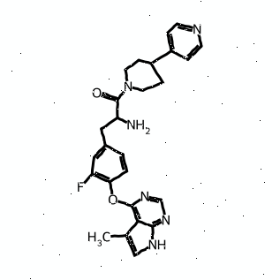 Cc1c[nH]c2ncnc(Oc3ccc(CC(N)C(=O)N4CCC(c5ccncc5)CC4)cc3F)c12